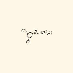 CCOC(=O)CNc1cc(Cl)cc(Cl)c1